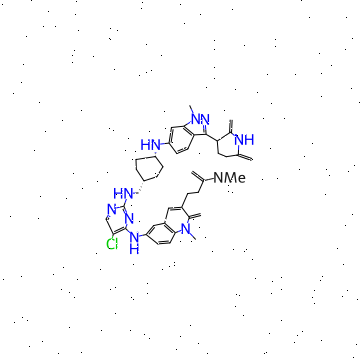 C=C(CCC1=Cc2cc(Nc3nc(NC[C@H]4CC[C@@H](Nc5ccc6c(C7CCC(=C)NC7=C)nn(C)c6c5)CC4)ncc3Cl)ccc2N(C)C1=C)NC